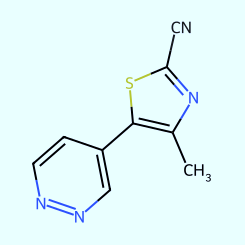 Cc1nc(C#N)sc1-c1ccnnc1